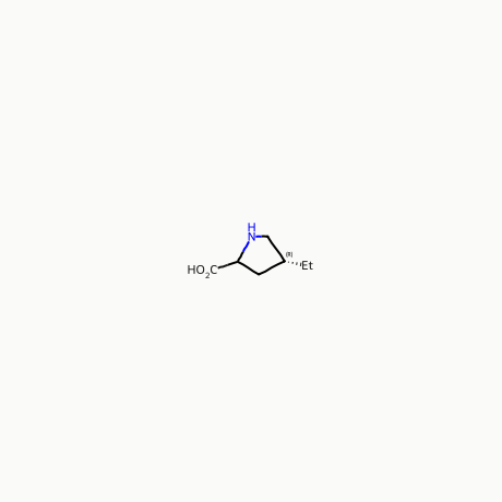 CC[C@H]1CNC(C(=O)O)C1